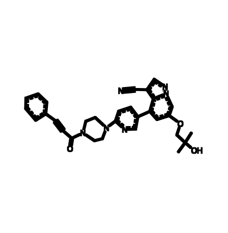 CC(C)(O)COc1cc(-c2ccc(N3CCN(C(=O)C#Cc4ccccc4)CC3)nc2)c2c(C#N)cnn2c1